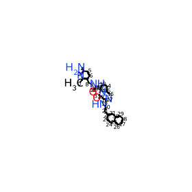 Cc1nc(N)ccc1CNC(=O)[C@@H]1CCc2cnc(NCCc3ccc4ccccc4c3)c(=O)n21